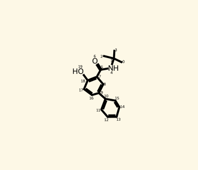 CC(C)(C)NC(=O)c1cc(-c2ccccc2)ccc1O